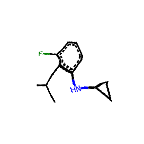 CC(C)c1c(F)cccc1NC1CC1